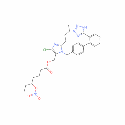 CCCCc1nc(Cl)c(COC(=O)CCCC(CC)O[N+](=O)[O-])n1Cc1ccc(-c2ccccc2-c2nnn[nH]2)cc1